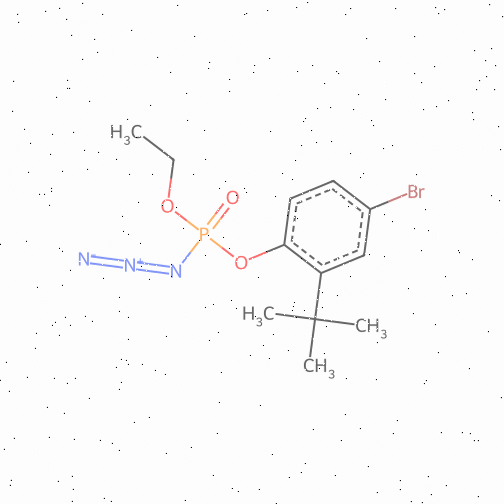 CCOP(=O)(N=[N+]=[N-])Oc1ccc(Br)cc1C(C)(C)C